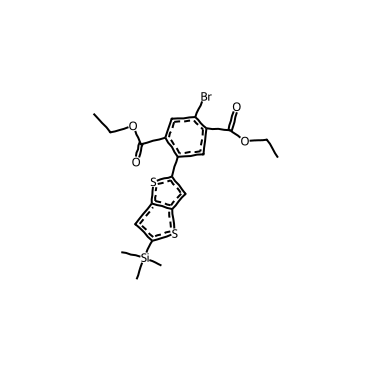 CCOC(=O)c1cc(-c2cc3sc([Si](C)(C)C)cc3s2)c(C(=O)OCC)cc1Br